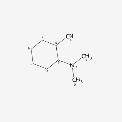 CN(C)C1CCCCC1C#N